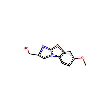 COc1ccc2c(c1)sc1nc(CO)cn12